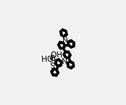 OB(O)c1cc(-n2c3ccccc3c3ccc(-c4cccc5c4c4ccccc4n5-c4ccccc4)cc32)cc2c1sc1ccccc12